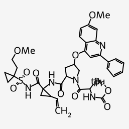 C=CC1CC1(NC(=O)C1CC(Oc2cc(-c3ccccc3)nc3cc(OC)ccc23)CN1C(=O)C(NC(=O)OC(C)(C)C)C(C)C)C(=O)NS(=O)(=O)C1(CCOC)CC1